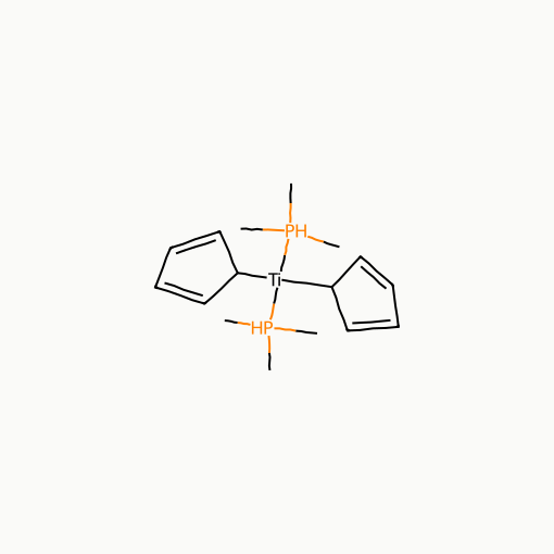 C[PH](C)(C)[Ti]([CH]1C=CC=C1)([CH]1C=CC=C1)[PH](C)(C)C